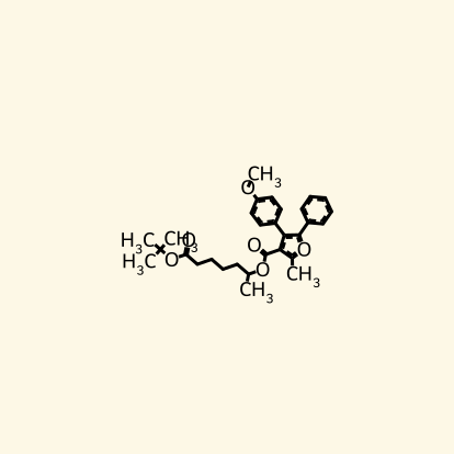 COc1ccc(-c2c(-c3ccccc3)oc(C)c2C(=O)OC(C)CCCCC(=O)OC(C)(C)C)cc1